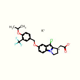 CC(C)Oc1ccc(COc2ccc3c(c2)c(Cl)c2n3CC[C@@H]2CC(=O)[O-])cc1C(F)(F)F.[K+]